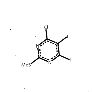 CSc1nc(Cl)c(I)c(I)n1